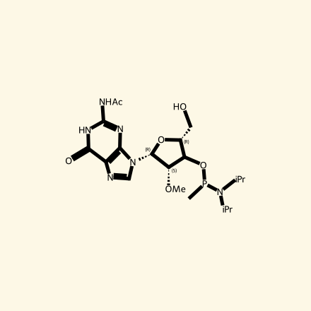 CO[C@H]1C(OP(C)N(C(C)C)C(C)C)[C@@H](CO)O[C@H]1n1cnc2c(=O)[nH]c(NC(C)=O)nc21